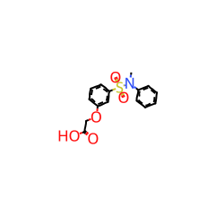 CN(c1ccccc1)S(=O)(=O)c1cccc(OCC(=O)O)c1